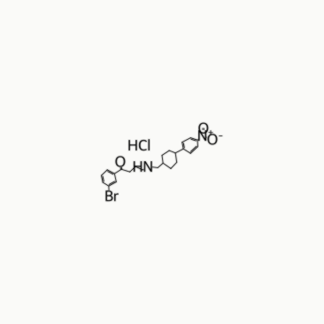 Cl.O=C(CCCNCC1CCC(c2ccc([N+](=O)[O-])cc2)CC1)c1cccc(Br)c1